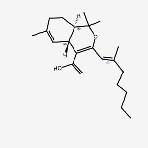 C=C(O)C1=C(/C=C(\C)CCCCC)OC(C)(C)[C@@H]2CCC(C)=C[C@@H]12